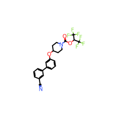 N#Cc1cccc(-c2cccc(OC3CCN(C(=O)OC(C(F)(F)F)C(F)(F)F)CC3)c2)c1